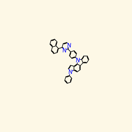 c1ccc(-n2ccc3c2ccc2c4ccccc4n(-c4ccc(-c5nccc(-c6cccc7ccccc67)n5)cc4)c23)cc1